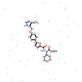 CNC(=O)[C@@H](NC(=O)c1ccc(-c2ccc(OCc3[nH]cnc3C)cc2)o1)C1CCOCC1